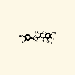 Cc1c(N[C@@H](c2nnc(-c3ccc(O)c(Cl)c3)o2)[C@H](C)O)ccc(C#N)c1Cl